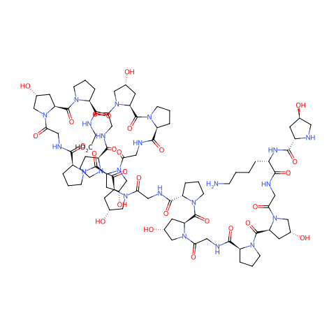 NCCCC[C@H](NC(=O)[C@@H]1C[C@@H](O)CN1)C(=O)NCC(=O)N1C[C@H](O)C[C@H]1C(=O)N1CCC[C@H]1C(=O)NCC(=O)N1C[C@H](O)C[C@H]1C(=O)N1CCC[C@H]1C(=O)NCC(=O)N1C[C@H](O)C[C@H]1C(=O)N1CCC[C@H]1C(=O)NCC(=O)N1C[C@H](O)C[C@H]1C(=O)N1CCC[C@H]1C(=O)NCC(=O)N1C[C@H](O)C[C@H]1C(=O)N1CCC[C@H]1C(=O)NCC(=O)N1C[C@H](O)C[C@H]1C(=O)N1CCC[C@H]1C(=O)NCC(=O)O